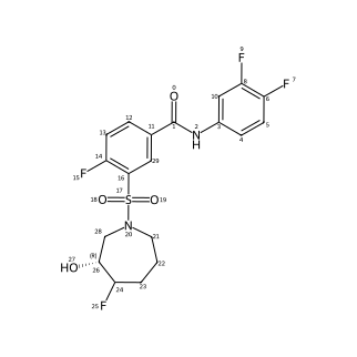 O=C(Nc1ccc(F)c(F)c1)c1ccc(F)c(S(=O)(=O)N2CCCC(F)[C@H](O)C2)c1